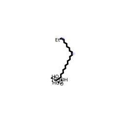 CC/C=C\CCCCC/C=C\CCCCCCCCCCC(O)(C[N+](C)(C)C)P(=O)(O)O